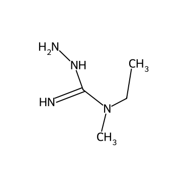 CCN(C)C(=N)NN